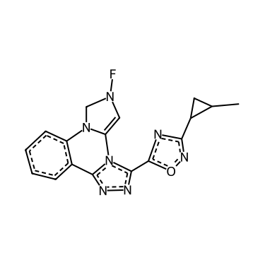 CC1CC1c1noc(-c2nnc3n2C2=CN(F)CN2c2ccccc2-3)n1